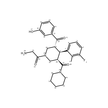 Cc1c(F)cccc1[C@@H]1[C@@H](C(=O)c2cccc(O)c2)CN(C(=O)CN)C[C@@H]1C(=O)N1CCCCC1